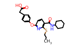 CCCSc1nc(Oc2ccc(CC(=O)O)cc2)ccc1C(=O)NC1CCCCC1